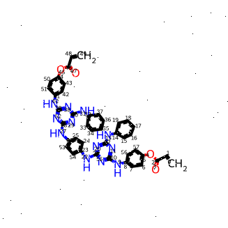 C=CC(=O)Oc1ccc(Nc2nc(Nc3ccccc3)nc(Nc3ccc(Nc4nc(Nc5ccccc5)nc(Nc5ccc(OC(=O)C=C)cc5)n4)cc3)n2)cc1